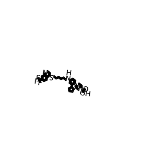 O=C(O)N1CCN(c2ccc(NCCCCCCSc3ccnc4cc(C(F)(F)F)ccc34)cc2C2CCCC2)CC1